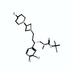 CN(C[C@@H](CCN1CC(N2CCC(F)CC2)C1)c1ccc(Cl)c(Cl)c1)C(=O)OC(C)(C)C